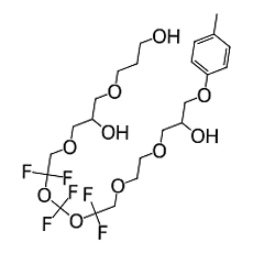 Cc1ccc(OCC(O)COCCOCC(F)(F)OC(F)(F)OC(F)(F)COCC(O)COCCCO)cc1